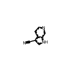 N#Cc1c[nH]c2cnccc12